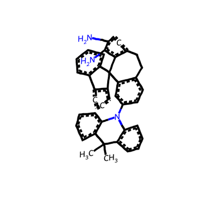 CC1(C)c2ccccc2N(c2ccc3c(c2)C2(c4ccccc4-c4ccccc42)c2c(ccc(N)c2N)CC3)c2ccccc21